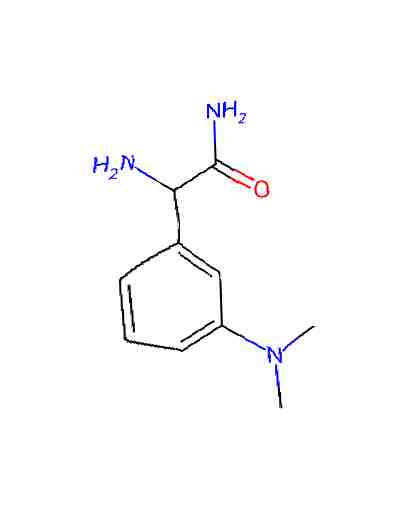 CN(C)c1cccc(C(N)C(N)=O)c1